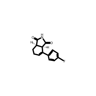 O=C1NC(=O)[C@@H]2CCC=C(c3ccc(F)cc3)[C@H]12